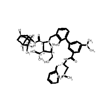 COc1c(CN2O[C@@H](CO)[C@@H]([C@H](C)O)[C@H]2C(=O)N[C@H]2C[C@H]3C[C@@H]([C@@H]2C)C3(C)C)cccc1-c1cc(C(=O)N[C@@H](Cc2ccccn2)CN(C)C)cc(N(C)C)c1